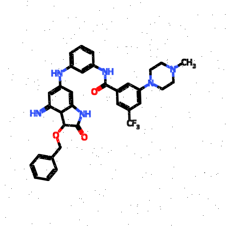 CN1CCN(c2cc(C(=O)Nc3cccc(NC4=CC(=N)C5C(=C4)NC(=O)C5OCc4ccccc4)c3)cc(C(F)(F)F)c2)CC1